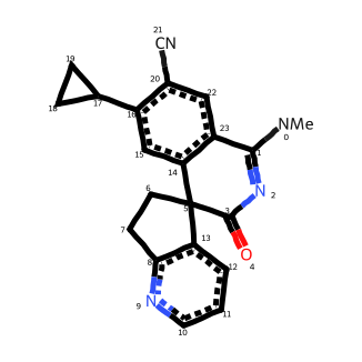 CNC1=NC(=O)C2(CCc3ncccc32)c2cc(C3CC3)c(C#N)cc21